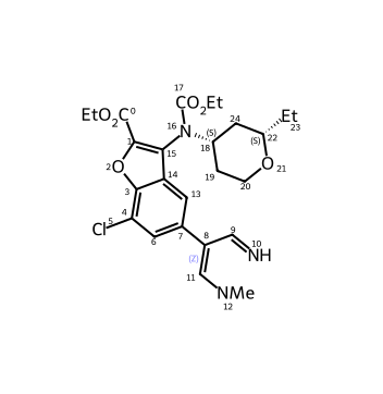 CCOC(=O)c1oc2c(Cl)cc(/C(C=N)=C/NC)cc2c1N(C(=O)OCC)[C@H]1CCO[C@@H](CC)C1